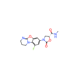 CNC(=O)[C@H]1CN(c2cc(F)c3c(c2)OC2=NCCCN23)C(=O)O1